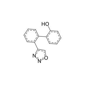 Oc1ccccc1-c1ccccc1-c1conn1